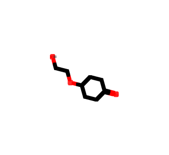 [O]CCOC1CCC(=O)CC1